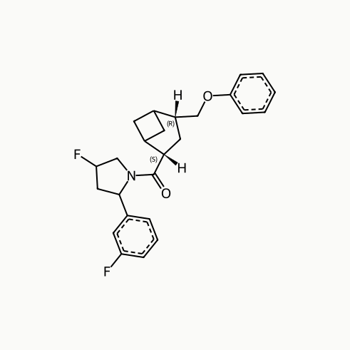 O=C([C@H]1C[C@@H](COc2ccccc2)C2CC1C2)N1CC(F)CC1c1cccc(F)c1